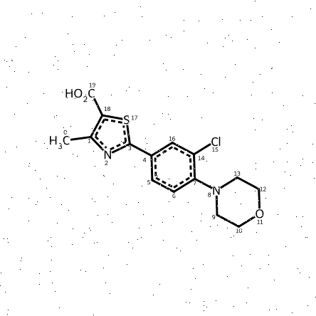 Cc1nc(-c2ccc(N3CCOCC3)c(Cl)c2)sc1C(=O)O